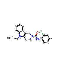 O=C(O)Cn1c2c(c3ccccc31)CN(C(=O)Nc1ccccc1F)CC2